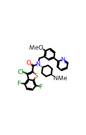 CN[C@H]1CC[C@H](N(Cc2cc(-c3ccccn3)ccc2OC)C(=O)c2sc3c(F)ccc(F)c3c2Cl)CC1